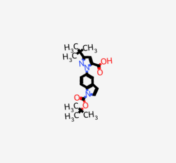 CC(C)(C)OC(=O)n1ccc2cc(-n3nc(C(C)(C)C)cc3C(=O)O)ccc21